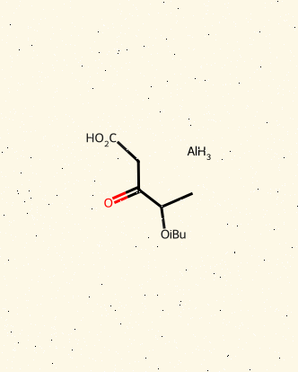 CC(C)COC(C)C(=O)CC(=O)O.[AlH3]